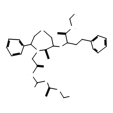 CCOC(=O)OC(C)OC(=O)CN1C(=O)C(NC(CCc2ccccc2)C(=O)OCC)CSCC1c1ccccc1